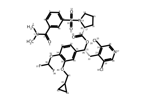 CN(C)C(=O)c1cccc(S(=O)(=O)N2CCC[C@@H]2C(=O)O[C@H](Cc2c(Cl)cncc2Cl)c2ccc(OC(F)F)c(OCC3CC3)c2)c1